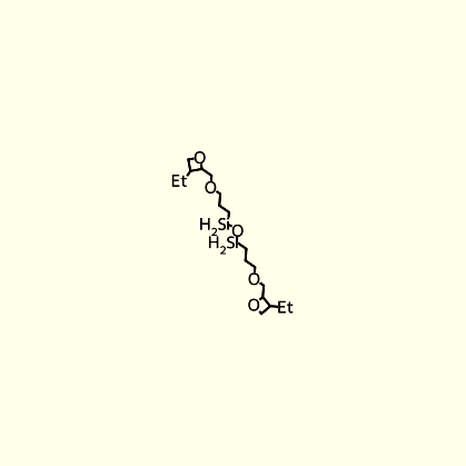 CCC1COC1COCCC[SiH2]O[SiH2]CCCOCC1OCC1CC